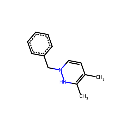 CC1=C(C)NN(Cc2ccccc2)C=C1